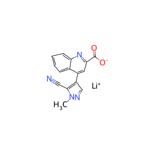 Cn1ncc(-c2cc(C(=O)[O-])nc3ccccc23)c1C#N.[Li+]